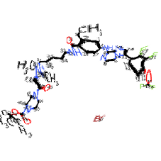 CCc1cc(Nc2nccn3c(-c4ccc(OC(F)F)c(F)c4F)cnc23)ccc1C(=O)NCCCCC[N+](C)(C)CC(=O)N1CCN(C(=O)OC(C)(C)C)CC1.[Br-]